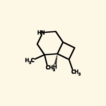 CC1CC2CNCC(C)(C)[C@H]12